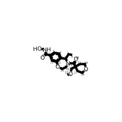 CCC1c2ccc(C(=O)NO)cc2OCCN1C(=O)C1(COC)CCOCC1